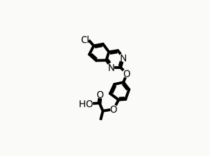 CC(Oc1ccc(Oc2ncc3cc(Cl)ccc3n2)cc1)C(=O)O